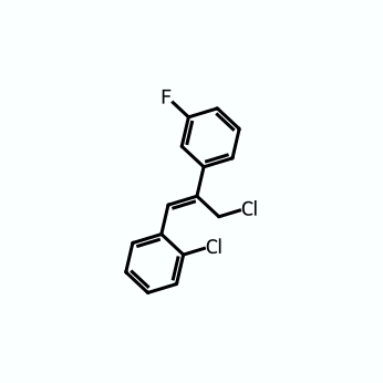 Fc1cccc(C(=Cc2ccccc2Cl)CCl)c1